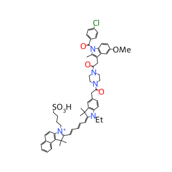 CCN1/C(=C/C=C/C=C/C2=[N+](CCCCS(=O)(=O)O)c3ccc4ccccc4c3C2(C)C)C(C)(C)c2cc(CC(=O)N3CCN(C(=O)Cc4c(C)n(C(=O)c5ccc(Cl)cc5)c5ccc(OC)cc45)CC3)ccc21